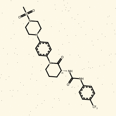 CS(=O)(=O)N1CCN(c2ccc(N3CCC[C@@H](NC(=O)Nc4ccc(C(F)(F)F)cc4)C3=O)cc2)CC1